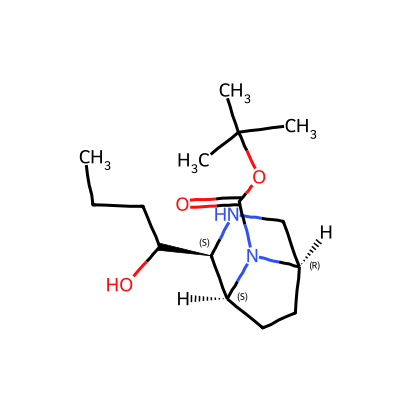 CCCC(O)[C@H]1NC[C@H]2CC[C@@H]1N2C(=O)OC(C)(C)C